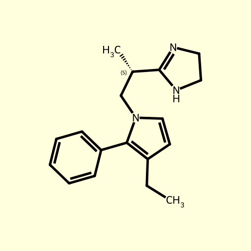 CCc1ccn(C[C@H](C)C2=NCCN2)c1-c1ccccc1